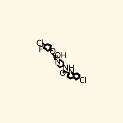 O=C(NC1CCN(C[C@@H](O)COc2ccc(Cl)c(F)c2)CC1)c1ccc2cc(Cl)ccc2n1